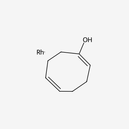 OC1=CCCC=CCC1.[Rh]